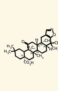 CC1(C)CC[C@]2(C(=O)O)CC[C@]3(C)C(C(=O)C[C@@H]4[C@@]5(C)Cc6cnoc6C(C)(C)[C@@H]5CC[C@]43C)C2C1